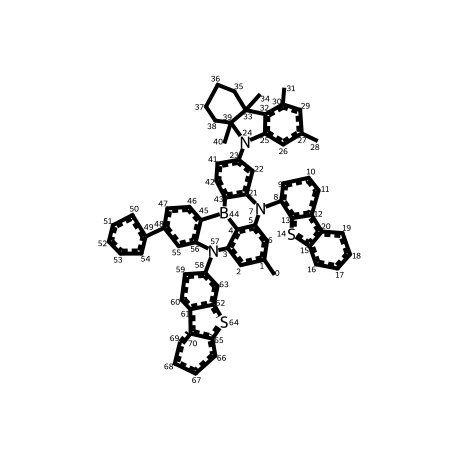 Cc1cc2c3c(c1)N(c1cccc4c1sc1ccccc14)c1cc(N4c5cc(C)cc(C)c5C5(C)CCCCC45C)ccc1B3c1ccc(-c3ccccc3)cc1N2c1ccc2c(c1)sc1ccccc12